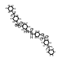 CC(C)(c1ccccc1)c1ccc(S(=O)(=O)Oc2ccc(NC(=O)Nc3cccc(OS(=O)(=O)c4ccc(C(C)(C)c5ccccc5)cc4)c3)cc2)cc1